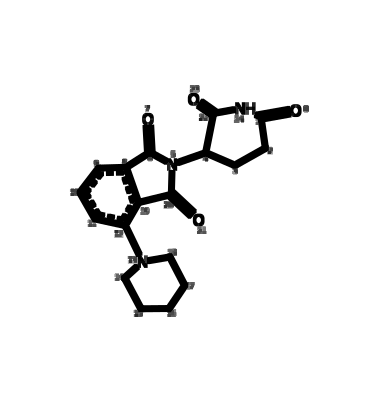 O=C1CCC(N2C(=O)c3cccc(N4CCCCC4)c3C2=O)C(=O)N1